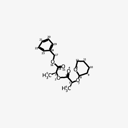 C[C@H](OC(=O)[C@H](C)OC1CCCCO1)C(=O)OCc1ccccc1